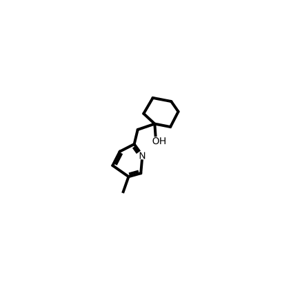 Cc1ccc(CC2(O)CCCCC2)nc1